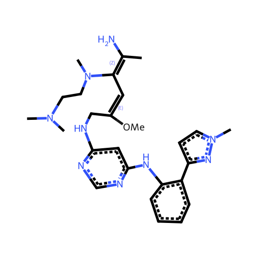 CO/C(=C/C(=C(\C)N)N(C)CCN(C)C)CNc1cc(Nc2ccccc2-c2ccn(C)n2)ncn1